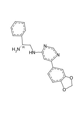 N[C@@H](CNc1cc(-c2ccc3c(c2)OCO3)ncn1)c1ccccc1